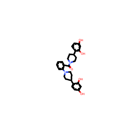 O=C(c1ccccc1N1CCC(c2ccc(O)cc2O)CC1)N1CCC(c2ccc(O)cc2O)CC1